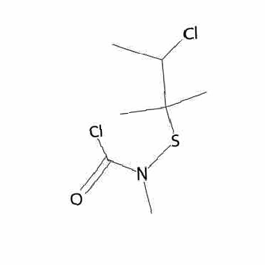 CC(Cl)C(C)(C)SN(C)C(=O)Cl